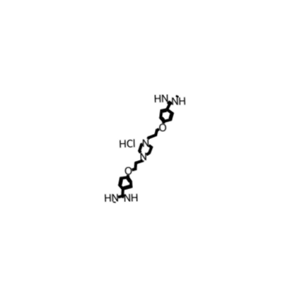 CNC(=N)c1ccc(OCCCN2CCN(CCCOc3ccc(C(=N)NC)cc3)CC2)cc1.Cl